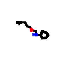 CCCCO[C]Nc1ccccc1